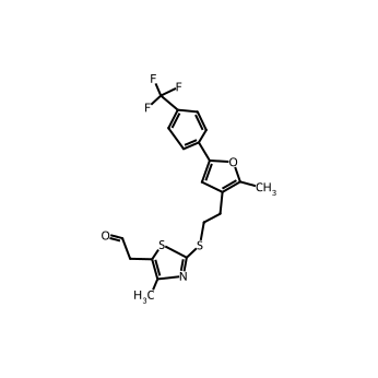 Cc1nc(SCCc2cc(-c3ccc(C(F)(F)F)cc3)oc2C)sc1CC=O